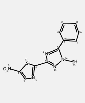 O=[N+]([O-])c1cnc(-c2nc(-c3ccccc3)n(S)n2)s1